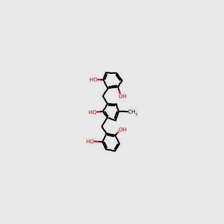 Cc1cc(Cc2c(O)cccc2O)c(O)c(Cc2c(O)cccc2O)c1